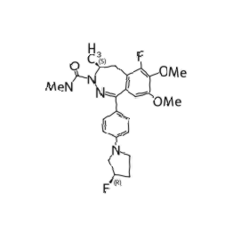 CNC(=O)N1N=C(c2ccc(N3CC[C@@H](F)C3)cc2)c2cc(OC)c(OC)c(F)c2C[C@@H]1C